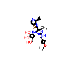 CO[C@H]1C[C@H](CNc2nc(C)c(-c3nc4c(C5CC5)nccc4s3)c(N[C@@H]3C[C@H](CO)[C@@H](O)[C@H]3O)n2)C1